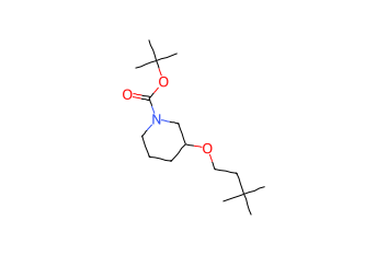 CC(C)(C)CCOC1CCCN(C(=O)OC(C)(C)C)C1